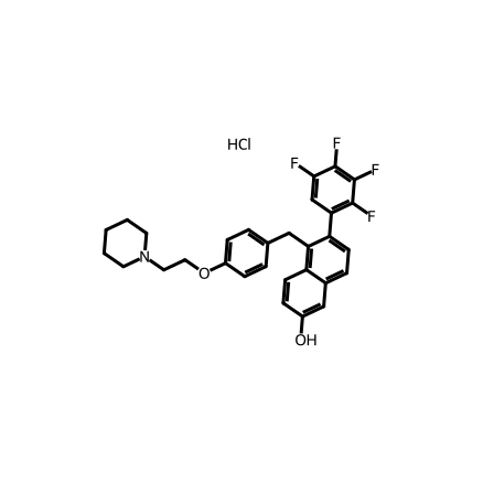 Cl.Oc1ccc2c(Cc3ccc(OCCN4CCCCC4)cc3)c(-c3cc(F)c(F)c(F)c3F)ccc2c1